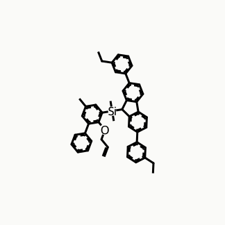 C=CCOc1c(-c2ccccc2)cc(C)cc1[Si](C)(C)C1c2cc(-c3cccc(CC)c3)ccc2-c2ccc(-c3cccc(CC)c3)cc21